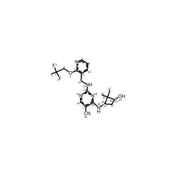 CC(F)(F)COc1ncccc1CNc1ncc(C#N)c(N[C@@H]2C[C@H](O)C2(C)C)n1